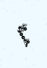 COCC(=O)N1CCC[C@H]1c1ncc(-c2ccc(-c3ccc(-c4cnc([C@@H]5CCCN5C(=O)[C@H](NC(=O)O)c5ccccc5)[nH]4)cc3)cc2)[nH]1